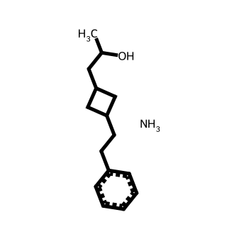 CC(O)CC1CC(CCc2ccccc2)C1.N